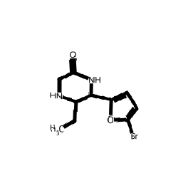 CCC1NCC(=O)NC1c1ccc(Br)o1